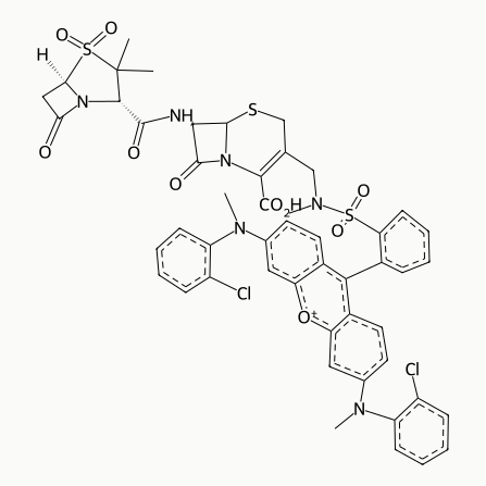 CN(c1ccc2c(-c3ccccc3S(=O)(=O)N(C)CC3=C(C(=O)O)N4C(=O)[C@@H](NC(=O)[C@@H]5N6C(=O)C[C@H]6S(=O)(=O)C5(C)C)C4SC3)c3ccc(N(C)c4ccccc4Cl)cc3[o+]c2c1)c1ccccc1Cl